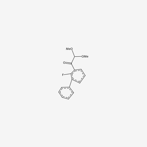 COC(OC)C(=O)c1cccc(-c2ccccc2)c1F